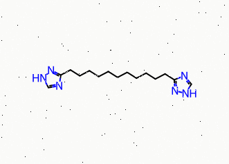 c1nc(CCCCCCCCCCCc2nc[nH]n2)n[nH]1